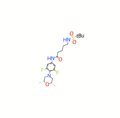 C[C@@H]1CN(c2c(F)cc(NC(=O)CCCCNS(=O)(=O)C(C)(C)C)cc2F)C[C@H](C)O1